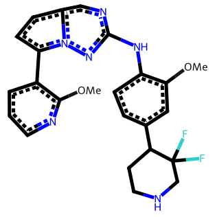 COc1cc(C2CCNCC2(F)F)ccc1Nc1ncc2ccc(-c3cccnc3OC)n2n1